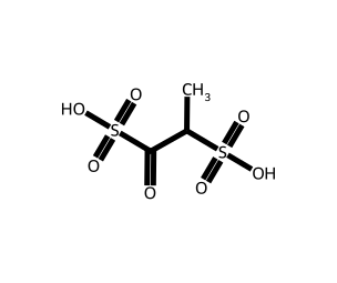 CC(C(=O)S(=O)(=O)O)S(=O)(=O)O